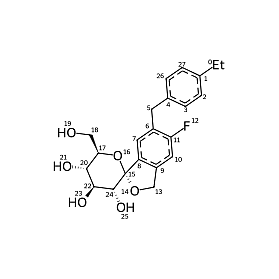 CCc1ccc(Cc2cc3c(cc2F)CO[C@]32O[C@H](CO)[C@@H](O)[C@H](O)[C@H]2O)cc1